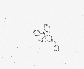 CCC(=O)N(c1ccccc1)C1(CO)CCN(Cc2ccccc2)CC1